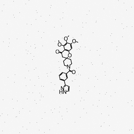 COc1cc2c(c(OC)c1OC)C(=O)CC1(CCN(C(=O)c3cccc(-c4cc[nH]n4)c3)CC1)O2